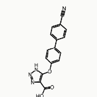 N#Cc1ccc(-c2ccc(Oc3[nH]nnc3C(=O)O)cc2)cc1